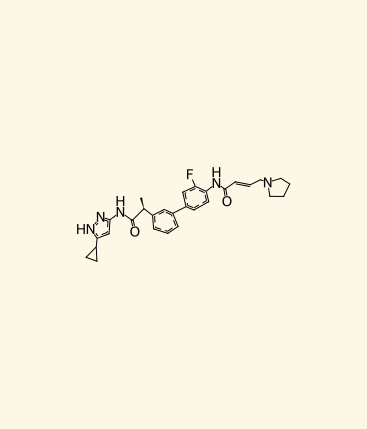 C[C@H](C(=O)Nc1cc(C2CC2)[nH]n1)c1cccc(-c2ccc(NC(=O)/C=C/CN3CCCC3)c(F)c2)c1